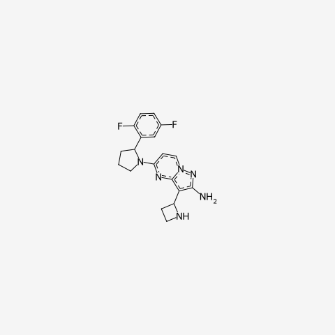 Nc1nn2ccc(N3CCCC3c3cc(F)ccc3F)nc2c1C1CCN1